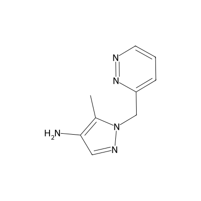 Cc1c(N)cnn1Cc1cccnn1